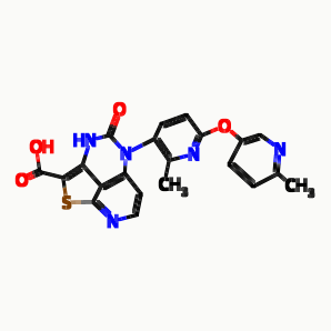 Cc1ccc(Oc2ccc(N3C(=O)Nc4c(C(=O)O)sc5nccc3c45)c(C)n2)cn1